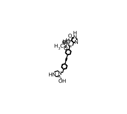 CS(=O)(=O)N[C@H](Cc1nc[nH]c(=O)c1O)c1ccc(C#Cc2ccc(CN3CCNC[C@H]3CO)cc2)cc1